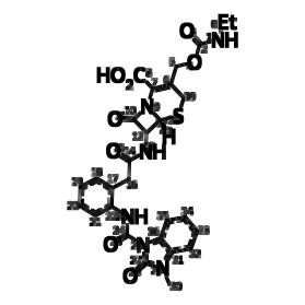 CCNC(=O)OCC1=C(C(=O)O)N2C(=O)C(NC(=O)Cc3ccccc3NC(=O)n3c(=O)n(C)c4ccccc43)[C@H]2SC1